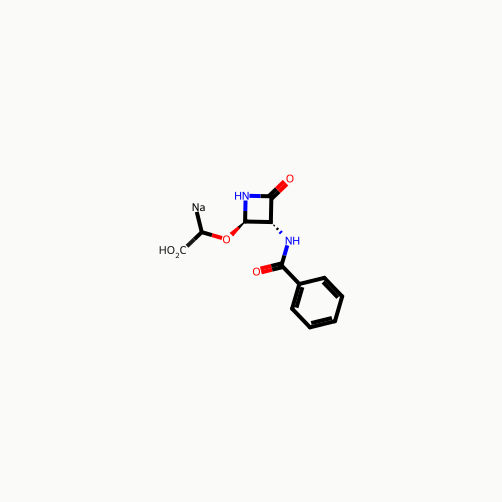 O=C(N[C@H]1C(=O)N[C@@H]1O[CH]([Na])C(=O)O)c1ccccc1